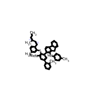 Bc1ccc(/C=C\C(C)=C/C=C)c(Sc2c(NC)cc(-c3ccccc3C)cc2-c2ccc3c(c2Nc2ccc(C)cc2)Cc2ccccc2-3)c1